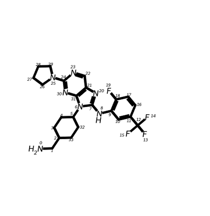 NCC1CCC(n2c(Nc3cc(C(F)(F)F)ccc3F)nc3cnc(N4CCCC4)nc32)CC1